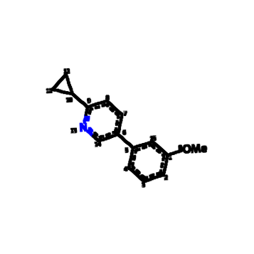 COc1cccc(-c2ccc(C3CC3)nc2)c1